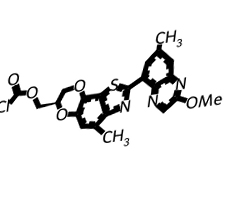 COc1cnc2c(-c3nc4c(C)cc5c(c4s3)OC[C@H](COC(=O)Cl)O5)cc(C)cc2n1